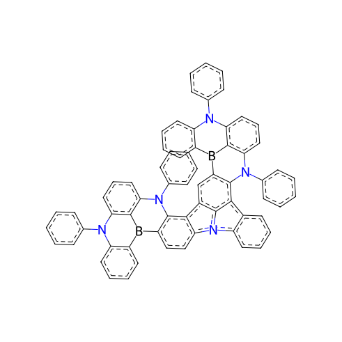 c1ccc(N2c3ccccc3B3c4ccc5c(c4N(c4ccccc4)c4cccc2c43)c2cc3c(c4c6ccccc6n5c24)N(c2ccccc2)c2cccc4c2B3c2ccccc2N4c2ccccc2)cc1